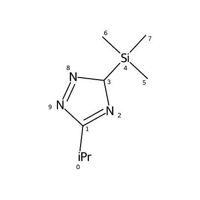 CC(C)C1=NC([Si](C)(C)C)N=N1